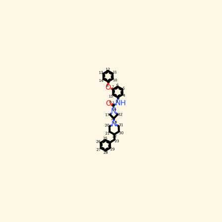 O=C(Nc1cccc(Oc2ccccc2)c1)N1CC(N2CCC(Cc3ccccc3)CC2)C1